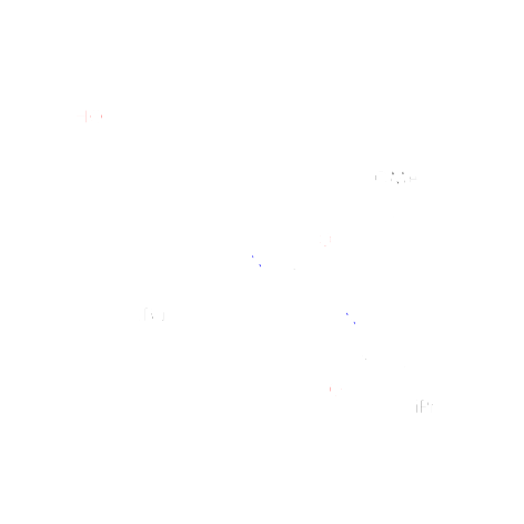 COc1ccc2cc(C(C)C)c(=O)n(CC(=O)N(CCCCCO)CCC(C)(C)C)c2c1